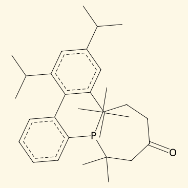 CC(C)c1cc(C(C)C)c(-c2ccccc2P2C(C)(C)CCC(=O)CC2(C)C)c(C(C)C)c1